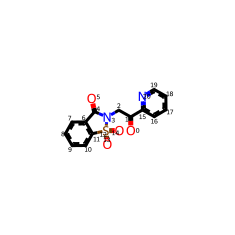 O=C(CN1C(=O)c2ccccc2S1(=O)=O)c1ccccn1